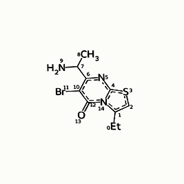 CCc1csc2nc(C(C)N)c(Br)c(=O)n12